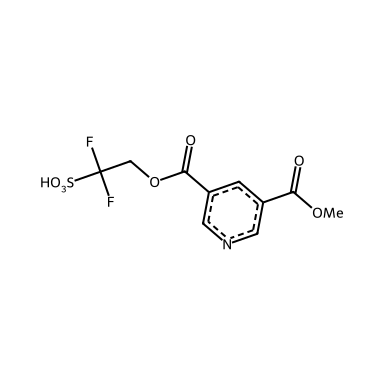 COC(=O)c1cncc(C(=O)OCC(F)(F)S(=O)(=O)O)c1